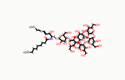 CCCCCCCCCCCCC/C=C/[C@@H](O)[C@H](CO[C@@H]1OC(CO)[C@@H](O[C@@H]2OC(CO)[C@H](O[C@@H]3OC(CO)[C@H](O)[C@H](O[C@@H]4OC(CO)[C@H](O)[C@H](O[C@@H]5OC(CO)[C@H](O)[C@H](O)C5O[C@H]5OC(C)[C@@H](O)C(O)[C@@H]5O)C4NC(C)=O)C3O)[C@H](O)C2O)[C@H](O)C1O)NC(=O)CCCCCCCCCCCCCCCCC